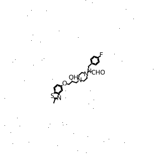 Cc1nc2cc(OC[C@H](O)CN3CCN(N(C=O)Cc4ccc(F)cc4)CC3)ccc2s1